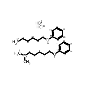 Br.CP(C)CCCCCOc1ccccc1.Cl.PCCCCCOc1ccccc1